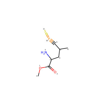 COC(=O)C(N)CC(C)C#P=S